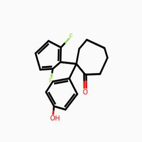 O=C1CCCCCC1(c1ccc(O)cc1)c1c(F)cccc1F